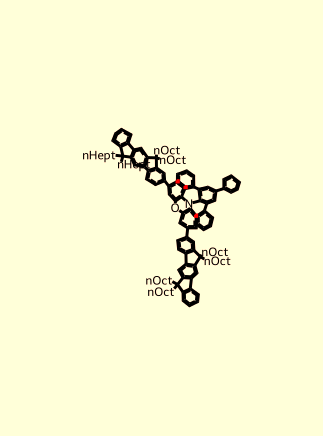 CCCCCCCCC1(CCCCCCCC)c2cc(-c3ccc4c(c3)Oc3cc(-c5ccc6c(c5)C(CCCCCCCC)(CCCCCCCC)c5cc7c(cc5-6)C(CCCCCCCC)(CCCCCCCC)c5ccccc5-7)ccc3N4c3c(-c4ccccc4)cc(-c4ccccc4)cc3-c3ccccc3)ccc2-c2cc3c(cc21)-c1ccccc1C3(CCCCCCC)CCCCCCC